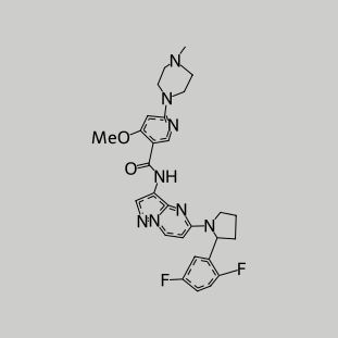 COc1cc(N2CCN(C)CC2)ncc1C(=O)Nc1cnn2ccc(N3CCCC3c3cc(F)ccc3F)nc12